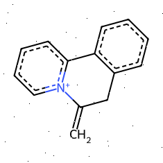 C=C1Cc2ccccc2-c2cccc[n+]21